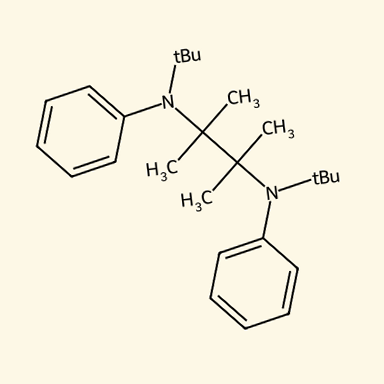 CC(C)(C)N(c1ccccc1)C(C)(C)C(C)(C)N(c1ccccc1)C(C)(C)C